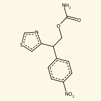 NC(=O)OCC(c1ccc([N+](=O)[O-])cc1)c1cscn1